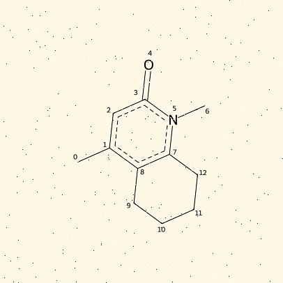 Cc1cc(=O)n(C)c2c1CCCC2